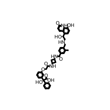 Cc1cc(C(=O)NC2CC(NC(=O)COc3cccc([C@](O)(C(=O)O)c4ccccc4)c3)C2)ccc1CNC[C@H](O)c1ccc(O)c2[nH]c(=O)ccc12